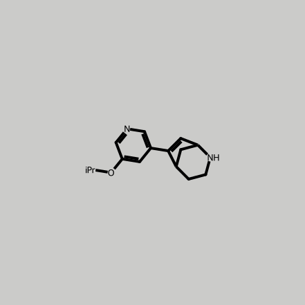 CC(C)Oc1cncc(C2=CC3CC2CCN3)c1